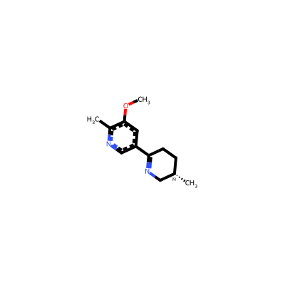 COc1cc(C2=NC[C@@H](C)CC2)cnc1C